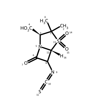 CC1(C)[C@H](C(=O)O)N2C(=O)C(N=C=S)[C@H]2S1(=O)=O